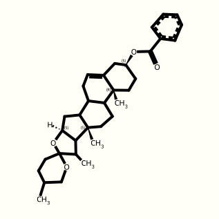 CC1CCC2(OC1)O[C@H]1CC3C4CC=C5C[C@@H](OC(=O)c6ccccc6)CC[C@]5(C)C4CC[C@]3(C)C1C2C